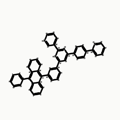 c1ccc(-c2c3ccccc3c(-c3cccc(-c4cc(-c5ccc(-c6ccccn6)cc5)nc(-c5cccnc5)n4)c3)c3ccccc23)cc1